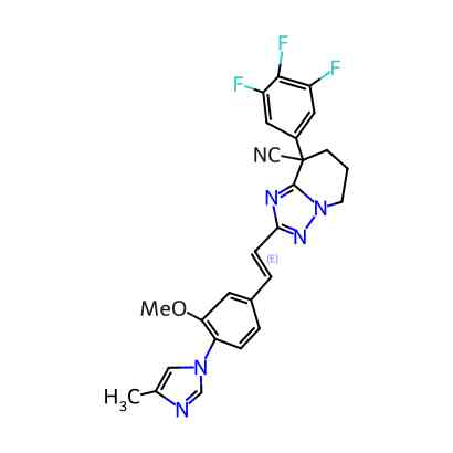 COc1cc(/C=C/c2nc3n(n2)CCCC3(C#N)c2cc(F)c(F)c(F)c2)ccc1-n1cnc(C)c1